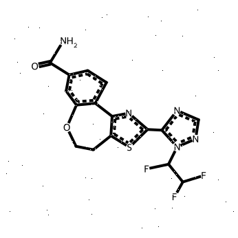 NC(=O)c1ccc2c(c1)OCCc1sc(-c3ncnn3C(F)C(F)F)nc1-2